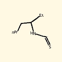 CCCCC(CC)N[C]=S